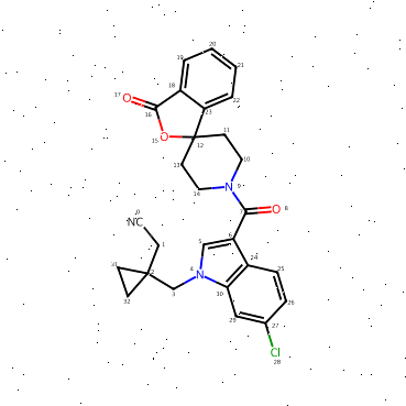 N#CCC1(Cn2cc(C(=O)N3CCC4(CC3)OC(=O)c3ccccc34)c3ccc(Cl)cc32)CC1